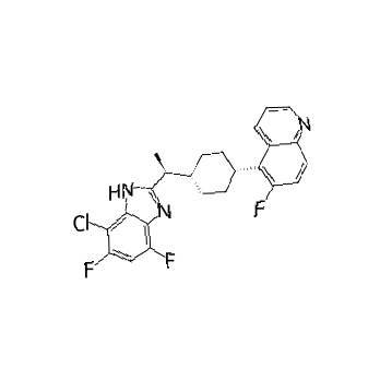 C[C@H](c1nc2c(F)cc(F)c(Cl)c2[nH]1)[C@H]1CC[C@@H](c2c(F)ccc3ncccc32)CC1